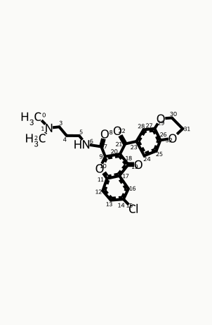 CN(C)CCCNC(=O)c1oc2ccc(Cl)cc2c(=O)c1C(=O)c1ccc2c(c1)OCCO2